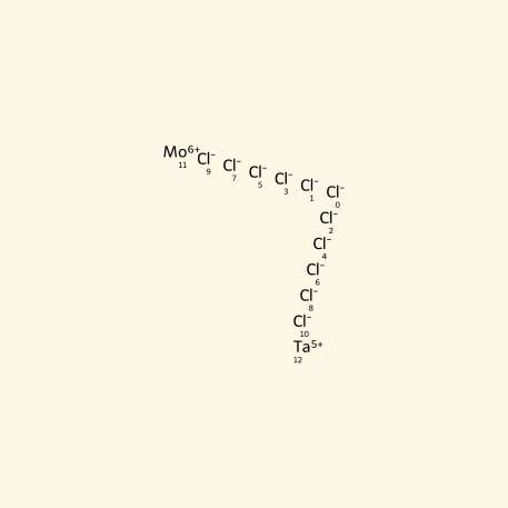 [Cl-].[Cl-].[Cl-].[Cl-].[Cl-].[Cl-].[Cl-].[Cl-].[Cl-].[Cl-].[Cl-].[Mo+6].[Ta+5]